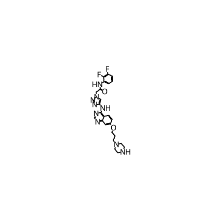 O=C(Cn1cc(Nc2ncnc3cc(OCCCN4CCNCC4)ccc23)nn1)Nc1cccc(F)c1F